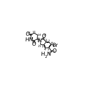 NC(=O)c1cc2c(cc1Br)C(=O)N(C1CCC(=O)NC1=O)C2